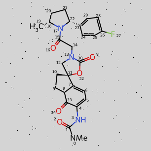 CNC(=O)NC1=CC=C2C(CC[C@]23CN(CC(=O)N2[C@H](C)CC[C@@H]2c2ccc(F)cc2)C(=O)O3)C1=O